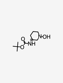 CC(C)(C)OC(=O)N[C@@H]1CCCN(O)C1